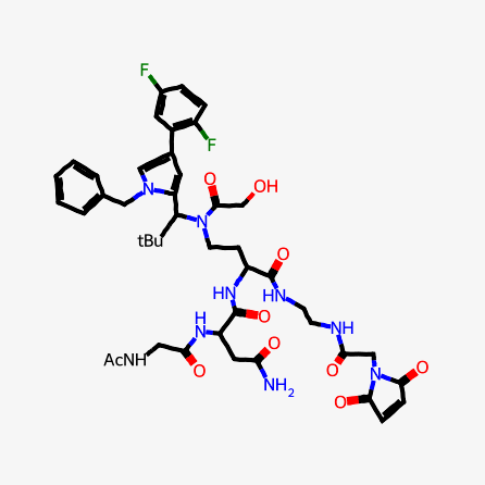 CC(=O)NCC(=O)NC(CC(N)=O)C(=O)NC(CCN(C(=O)CO)C(c1cc(-c2cc(F)ccc2F)cn1Cc1ccccc1)C(C)(C)C)C(=O)NCCNC(=O)CN1C(=O)C=CC1=O